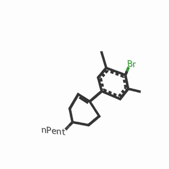 CCCCCC1CC=C(c2cc(C)c(Br)c(C)c2)CC1